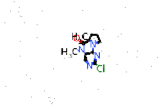 CN1C(=O)[C@]2(C)CCCN2c2nc(Cl)ncc21